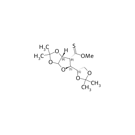 COC(=S)[C@@H]1[C@@H]([C@@H]2COC(C)(C)O2)OC2OC(C)(C)O[C@@H]21